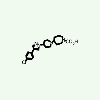 O=C(O)N1CCCC(N2CCC(n3cc(-c4ccc(Cl)cc4)cn3)CC2)CC1